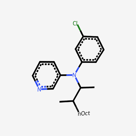 CCCCCCCCC(C)C(C)N(c1cccnc1)c1cccc(Cl)c1